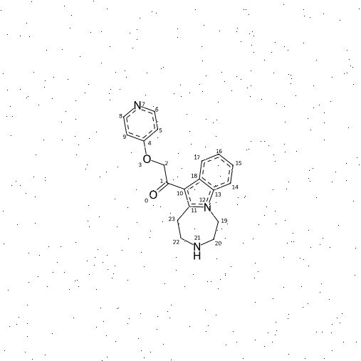 O=C(COc1ccncc1)c1c2n(c3ccccc13)CCNCC2